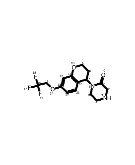 O=C1CNCCN1C1CCOc2cc(OCC(F)(F)F)ccc21